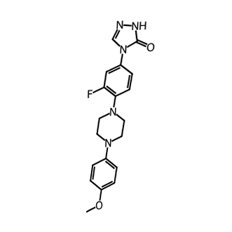 COc1ccc(N2CCN(c3ccc(-n4cn[nH]c4=O)cc3F)CC2)cc1